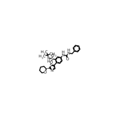 CC(C)(C)NS(=O)(=O)c1cc(NC(=O)NCc2ccccc2)ccc1-c1cnc([C@@H]2CCCCO2)s1